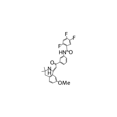 COc1ccc2c(c1)C(=CC(=O)c1cccc(NC(=O)c3cc(F)c(F)cc3F)c1)NC(C)(C)C2